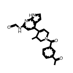 CC(=O)c1cccc(C(=O)N2CC=C(c3cc(NC=O)nc4[nH]ccc34)C(C)C2)c1